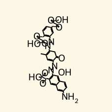 CC1=C(N=Nc2cc(S(=O)(=O)O)ccc2S(=O)(=O)O)CC(=O)C(N=Nc2c(S(=O)(=O)O)cc3cc(N)ccc3c2O)=C1